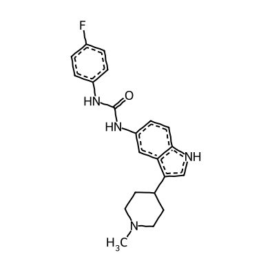 CN1CCC(c2c[nH]c3ccc(NC(=O)Nc4ccc(F)cc4)cc23)CC1